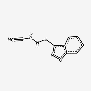 C#CPNSc1noc2ccccc12